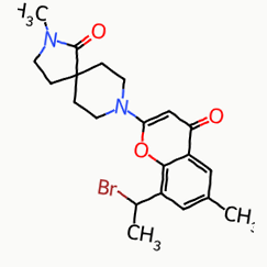 Cc1cc(C(C)Br)c2oc(N3CCC4(CCN(C)C4=O)CC3)cc(=O)c2c1